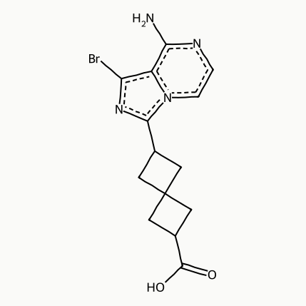 Nc1nccn2c(C3CC4(CC(C(=O)O)C4)C3)nc(Br)c12